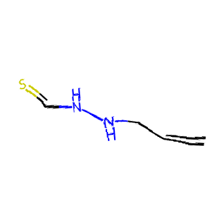 C=CCNNC=S